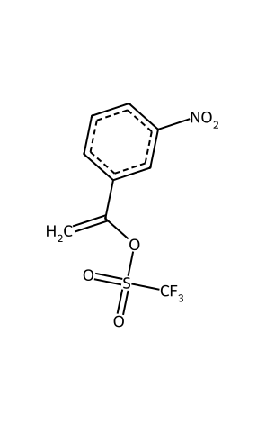 C=C(OS(=O)(=O)C(F)(F)F)c1cccc([N+](=O)[O-])c1